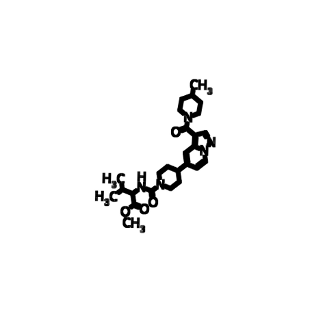 COC(=O)C(NC(=O)N1CCC(c2ccn3ncc(C(=O)N4CCC(C)CC4)c3c2)CC1)C(C)C